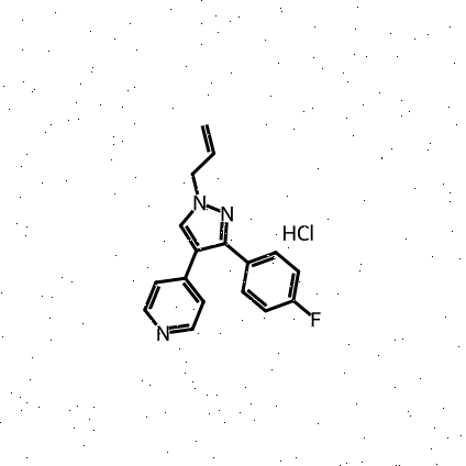 C=CCn1cc(-c2ccncc2)c(-c2ccc(F)cc2)n1.Cl